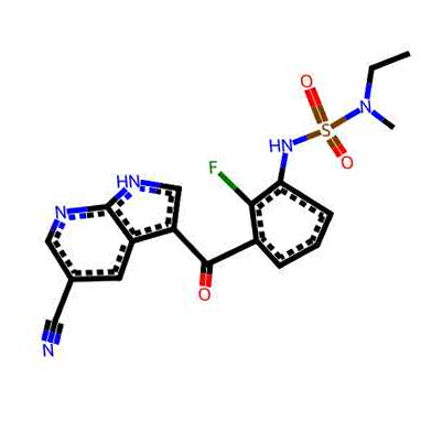 CCN(C)S(=O)(=O)Nc1cccc(C(=O)c2c[nH]c3ncc(C#N)cc23)c1F